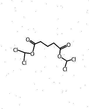 O=C(CCCC(=O)OC(Cl)Cl)OC(Cl)Cl